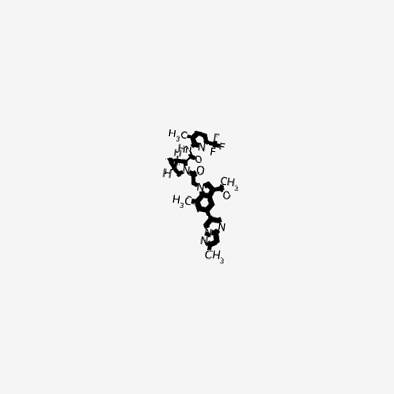 CC(=O)c1cn(CC(=O)N2C[C@H]3C[C@H]3[C@H]2C(=O)Nc2nc(C(F)(F)F)ccc2C)c2c(C)cc(-c3cnc4cc(C)nn4c3)cc12